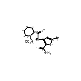 NC(=O)c1sc(Br)cc1NC(=O)[C@@H]1CCCCN1C(=O)O